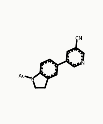 CC(=O)N1CCc2cc(-c3cncc(C#N)c3)ccc21